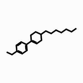 CCCCCCCC1CC=C(c2ccc(CC)cc2)CC1